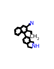 C=Cc1c(C#N)cc2ccccc2c1-c1ccc2c(c1)CNCC2